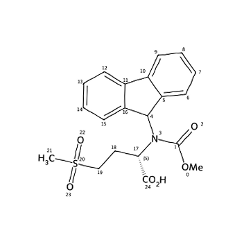 COC(=O)N(C1c2ccccc2-c2ccccc21)[C@@H](CCS(C)(=O)=O)C(=O)O